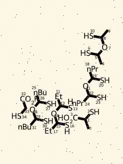 CC(S)C(=O)O.CC(S)OC(C)S.CCC(S)OC(S)CC.CCCC(S)OC(S)CCC.CCCCC(S)OC(S)CCCC.O=C(O)CS